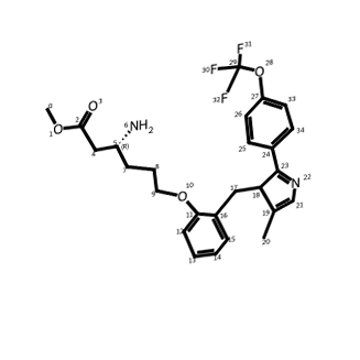 COC(=O)C[C@H](N)CCCOc1ccccc1CC1C(C)=CN=C1c1ccc(OC(F)(F)F)cc1